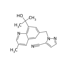 Cc1cnc2c(C(C)(C)O)cc(Cn3nccc3C#N)cc2c1